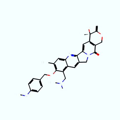 C=C1OCc2c(cc3n(c2=O)Cc2cc4c(CN(C)C)c(OCc5ccc(NC(C)C)cc5)c(C)cc4nc2-3)[C@@]1(O)CC